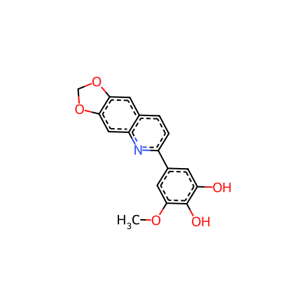 COc1cc(-c2ccc3cc4c(cc3n2)OCO4)cc(O)c1O